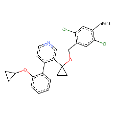 CCCCCc1cc(Cl)c(COC2(c3cnccc3-c3ccccc3OC3CC3)CC2)cc1Cl